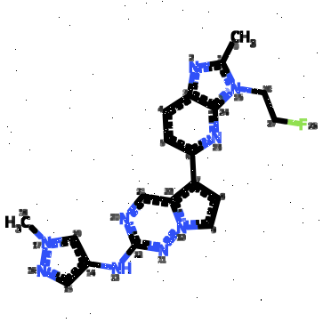 Cc1nc2ccc(-c3ccn4nc(Nc5cnn(C)c5)ncc34)nc2n1CCF